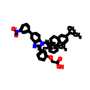 CC(C)c1ccc2c(c1)CC[C@H]1[C@@](C)(Cn3c(-c4cccc(OCC(=O)O)c4)nc4cc(-c5cccc([N+](=O)[O-])c5)ccc43)CCC[C@]21C